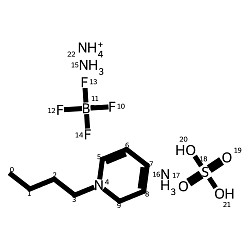 CCCCN1C=CC=CC1.F[B-](F)(F)F.N.N.O=S(=O)(O)O.[NH4+]